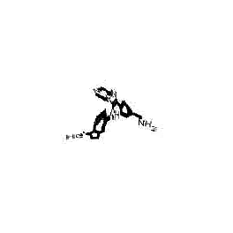 NCc1ccc(-c2nc3cnccn3c2Nc2ccc3c(c2)CC/C3=N\O)cc1